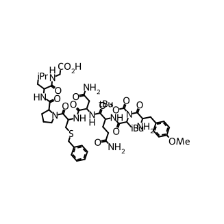 CCC(C)C(C(=O)NC(CCC(N)=O)C(=O)NC(CC(N)=O)C(=O)NC(CSCc1ccccc1)C(=O)N1CCCC1C(=O)NC(CC(C)C)C(=O)NCC(=O)O)N(C(=O)OC(C)(C)C)C(=O)C(N)Cc1ccc(OC)cc1